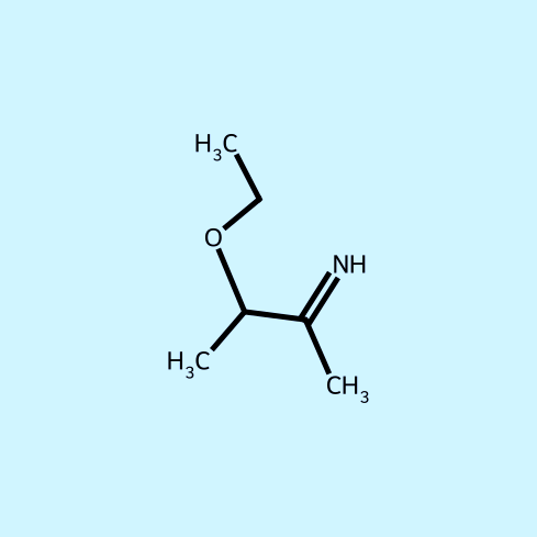 CCOC(C)C(C)=N